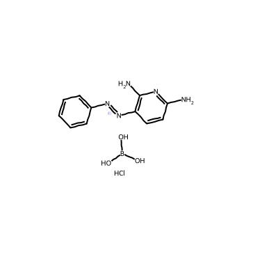 Cl.Nc1ccc(/N=N/c2ccccc2)c(N)n1.OB(O)O